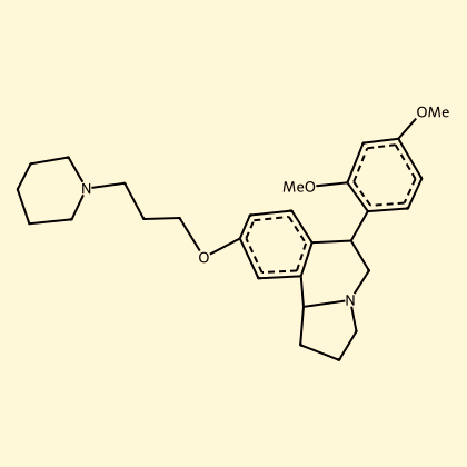 COc1ccc(C2CN3CCCC3c3cc(OCCCN4CCCCC4)ccc32)c(OC)c1